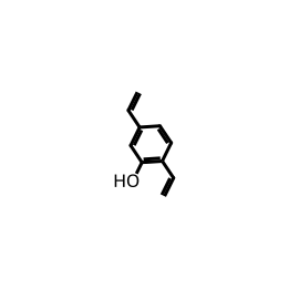 C=Cc1ccc(C=C)c(O)c1